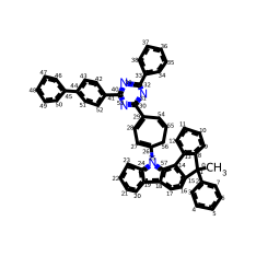 CC1(c2ccccc2)c2ccccc2-c2c1ccc1c3ccccc3n(C3=CC=C(c4nc(-c5ccccc5)nc(-c5ccc(-c6ccccc6)cc5)n4)C=CC3)c21